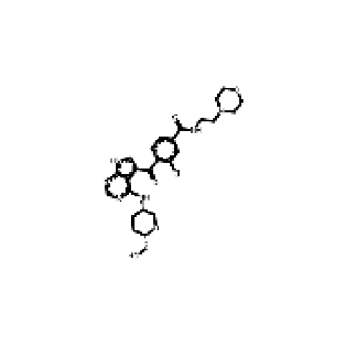 O=C(NCCN1CCOCC1)c1ccc(C(=O)c2c[nH]c3ncnc(N[C@@H]4CC[C@@H](CO)OC4)c23)c(Cl)c1